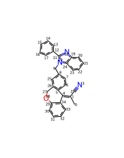 CC(C#N)=C1c2ccc(Cn3c(-c4ccccc4)nc4ccccc43)cc2COc2ccccc21